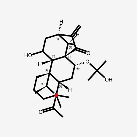 C=C1C(=O)[C@]23[C@H](C)[C@H]1CC(O)[C@H]2[C@]1([C@H](C)OC(C)=O)CCCC(C)(C)[C@H]1C[C@H]3OC(C)(C)O